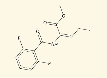 CCC=C(NC(=O)c1c(F)cccc1F)C(=O)OC